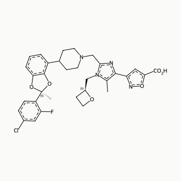 Cc1c(-c2cc(C(=O)O)on2)nc(CN2CCC(c3cccc4c3O[C@@](C)(c3ccc(Cl)cc3F)O4)CC2)n1C[C@@H]1CCO1